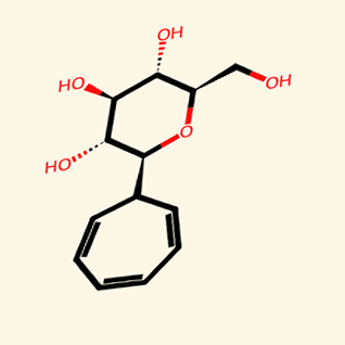 OC[C@H]1O[C@@H](C2C=CC=CC=C2)[C@H](O)[C@@H](O)[C@@H]1O